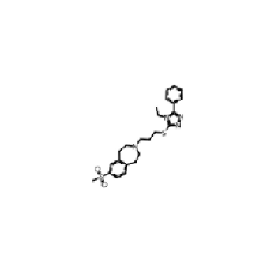 CCn1c(SCCCN2CCc3ccc(S(C)(=O)=O)cc3CC2)nnc1-c1ccccc1